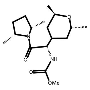 COC(=O)N[C@H](C(=O)N1[C@H](C)CC[C@@H]1C)C1C[C@@H](C)O[C@H](C)C1